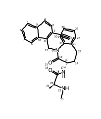 C#Cc1ccc2ccccc2c1CN1C(=O)[C@@H](NC(=O)[C@H](C)NC)CCc2ccccc21